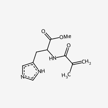 C=C(C)C(=O)NC(Cc1cnc[nH]1)C(=O)OC